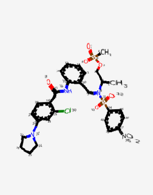 CC(COS(C)(=O)=O)N(Cc1ccccc1NC(=O)c1ccc(N2CCCC2)cc1Cl)S(=O)(=O)c1ccc([N+](=O)[O-])cc1